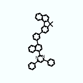 CC1(C)c2ccc(-c3cccc(-c4ccc(-c5nc(-c6ccccc6)cc(-c6ccccc6)n5)c5ccccc45)c3)cc2-c2c1ccc1ccccc21